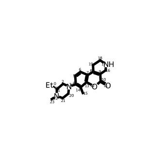 CC[C@H]1CN(c2ccc3c4c(c(=O)oc3c2C)CNCC4)CCN1C